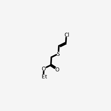 CCOC(=O)CS/C=C/Cl